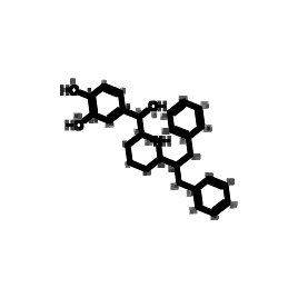 Oc1ccc(C(O)C2CCCC(C(Cc3ccccc3)Cc3ccccc3)N2)cc1O